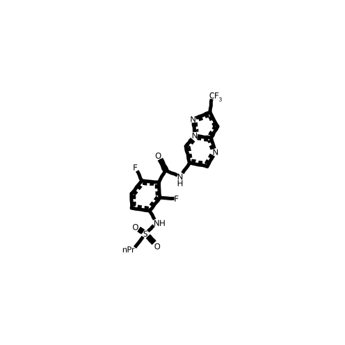 CCCS(=O)(=O)Nc1ccc(F)c(C(=O)Nc2cnc3cc(C(F)(F)F)nn3c2)c1F